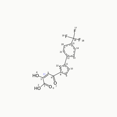 O=C(O)/C(O)=C\C(=O)c1ccc(-c2ccc(C(F)(F)F)cc2)s1